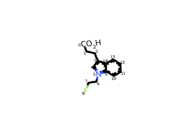 O=C(O)CCc1cn(CCF)c2ccccc12